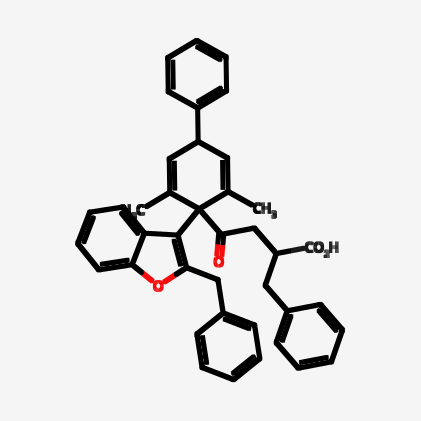 CC1=CC(c2ccccc2)C=C(C)C1(C(=O)CC(Cc1ccccc1)C(=O)O)c1c(Cc2ccccc2)oc2ccccc12